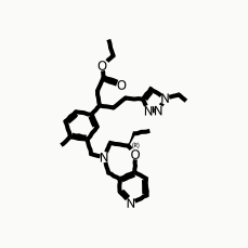 CCOC(=O)CC(CCc1cn(CC)nn1)c1ccc(C)c(CN2Cc3cnccc3O[C@H](CC)C2)c1